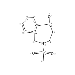 CS(=O)(=O)N1CC[S+]([O-])c2ccccc2C1